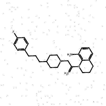 C=C(CN1CCC(CCCc2ccc(F)cc2)CC1)N1CCCc2cccc(N)c21